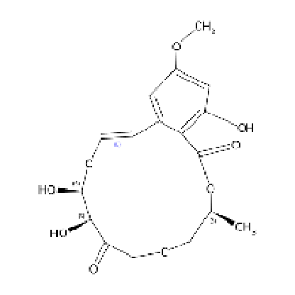 COc1cc(O)c2c(c1)/C=C/C[C@H](O)[C@H](O)C(=O)CCC[C@H](C)OC2=O